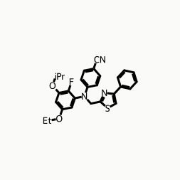 CCOc1cc(OC(C)C)c(F)c(N(Cc2nc(-c3ccccc3)cs2)c2ccc(C#N)cc2)c1